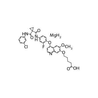 COc1cc2c(Oc3ccc(NC(=O)C4(C(=O)Nc5cccc(Cl)c5)CC4)cc3F)ccnc2cc1OCCCCC(=O)O.[MgH2]